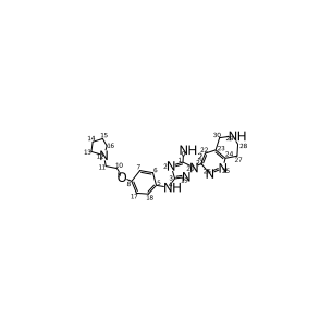 Nc1nc(Nc2ccc(OCCN3CCCC3)cc2)nn1-c1cc2c(nn1)CCNC2